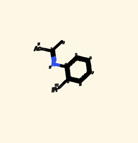 CC(=O)/C(C)=N/c1ccccc1C(C)C